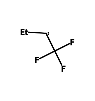 CC[C]C(F)(F)F